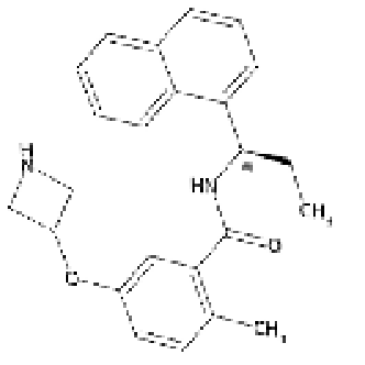 CC[C@@H](NC(=O)c1cc(OC2CNC2)ccc1C)c1cccc2ccccc12